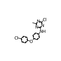 Cc1nc(Cl)nc(Nc2ccc(Oc3ccc(Cl)cc3)cc2)n1